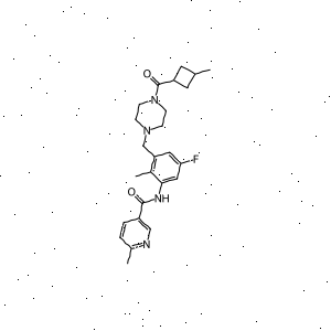 Cc1ccc(C(=O)Nc2cc(F)cc(CN3CCN(C(=O)C4CC(C)C4)CC3)c2C)cn1